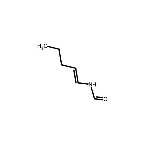 CCCC=CNC=O